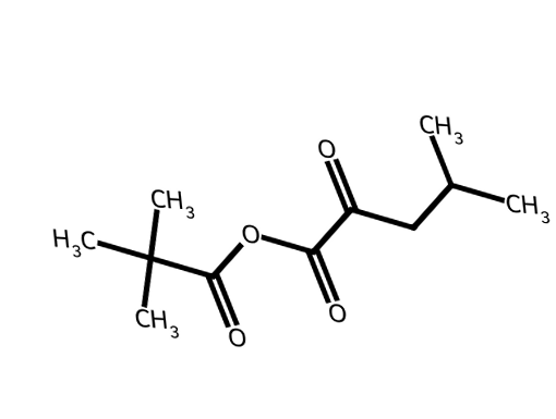 CC(C)CC(=O)C(=O)OC(=O)C(C)(C)C